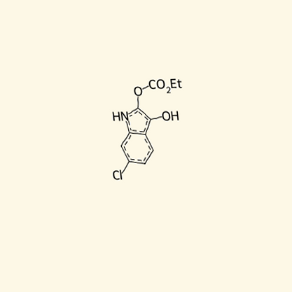 CCOC(=O)Oc1[nH]c2cc(Cl)ccc2c1O